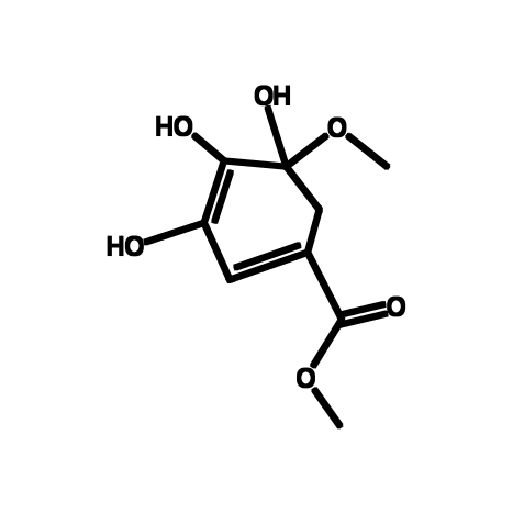 COC(=O)C1=CC(O)=C(O)C(O)(OC)C1